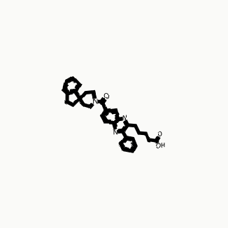 O=C(O)CCCCc1nc2cc(C(=O)N3CCC4(CCc5ccccc54)CC3)ccc2nc1-c1ccccc1